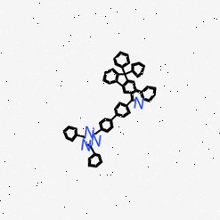 c1ccc(-c2nc(-c3ccccc3)nc(-c3ccc(-c4ccc(-c5nc6ccccc6c6cc7c(cc56)-c5ccccc5C7(c5ccccc5)c5ccccc5)cc4)cc3)n2)cc1